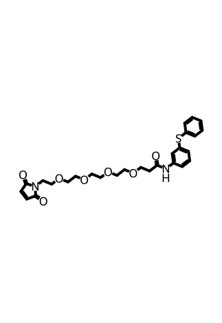 O=C(CCOCCOCCOCCOCCN1C(=O)C=CC1=O)Nc1cccc(Sc2ccccc2)c1